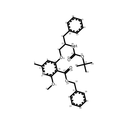 COc1nc(C)cc(OCC(Cc2ccccc2)NC(=O)OC(C)(C)C)c1C(=O)OCc1ccccc1